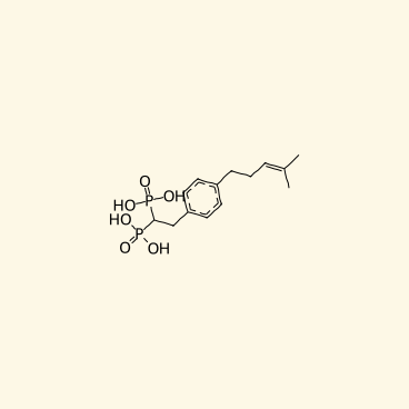 CC(C)=CCCc1ccc(CC(P(=O)(O)O)P(=O)(O)O)cc1